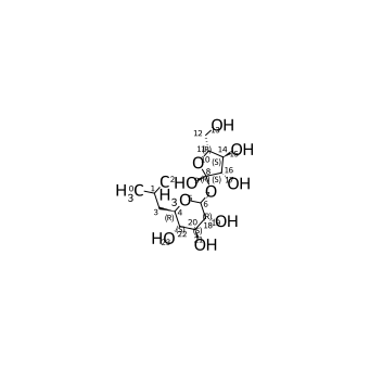 CC(C)C[C@H]1OC(O[C@]2(O)O[C@H](CO)[C@@H](O)[C@@H]2O)[C@H](O)[C@@H](O)[C@@H]1O